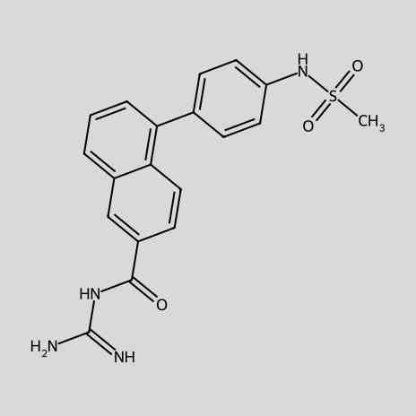 CS(=O)(=O)Nc1ccc(-c2cccc3cc(C(=O)NC(=N)N)ccc23)cc1